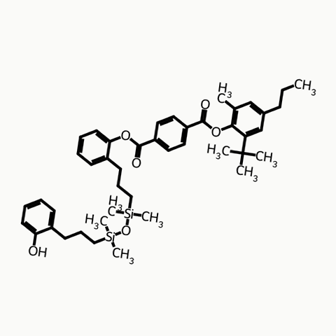 CCCc1cc(C)c(OC(=O)c2ccc(C(=O)Oc3ccccc3CCC[Si](C)(C)O[Si](C)(C)CCCc3ccccc3O)cc2)c(C(C)(C)C)c1